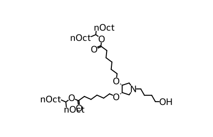 CCCCCCCCC(CCCCCCCC)OC(=O)CCCCCO[C@H]1CN(CCCCO)C[C@H]1OCCCCCC(=O)OC(CCCCCCCC)CCCCCCCC